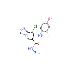 NNC(=O)c1cn2ccnc2c(Cl)c1Nc1ccc(Br)cc1F